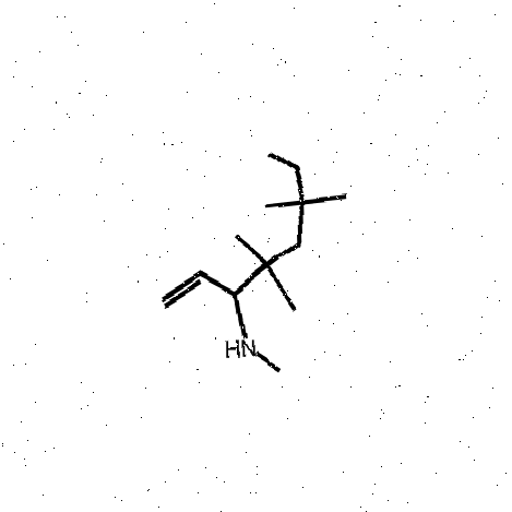 C=CC(NC)C(C)(C)CC(C)(C)CC